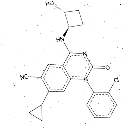 N#Cc1cc2c(N[C@@H]3CC[C@H]3O)nc(=O)n(-c3ccccc3Cl)c2cc1C1CC1